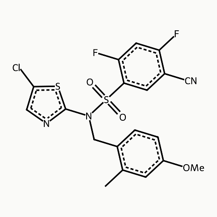 COc1ccc(CN(c2ncc(Cl)s2)S(=O)(=O)c2cc(C#N)c(F)cc2F)c(C)c1